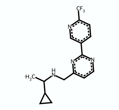 [CH2][C](NCc1ccnc(-c2ccc(C(F)(F)F)nc2)n1)C1CC1